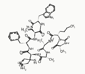 CCCC[C@@H](C(=O)N[C@@H](C)C(=O)N[C@H](C)C(=O)N[C@H](C(=O)N[C@H](Cc1ccccc1)C(=O)N[C@@H](CC)C(=O)N[C@@H](Cc1c[nH]c2ccccc12)C(N)=O)C(S)(/C=N\C)CC(N)=O)N1C(=O)N[C@H](C)C1=O